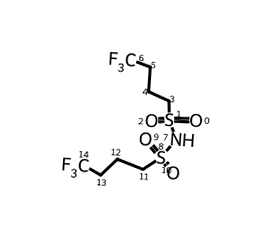 O=S(=O)(CCCC(F)(F)F)NS(=O)(=O)CCCC(F)(F)F